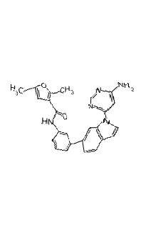 Cc1cc(C(=O)Nc2cccc(-c3ccc4ccn(-c5cc(N)ncn5)c4c3)c2)c(C)o1